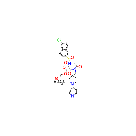 CCOC(=O)OCCOC(=O)C12CN(S(=O)(=O)c3ccc4cc(Cl)ccc4c3)CC(=O)N1CC1(CCN(c3ccncc3)CC1)O2